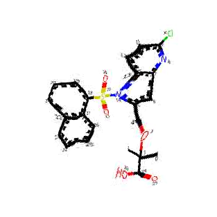 CC(C)(OCc1cc2nc(Cl)ccc2n1S(=O)(=O)c1cccc2ccccc12)C(=O)O